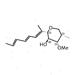 CC=CC=CC=C(C)[C@@H]1OC[C@H](C)[C@H](OC)[C@H]1O